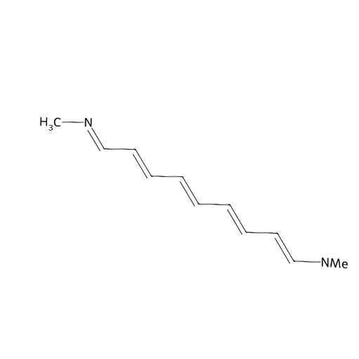 CN=CC=CC=CC=CC=CNC